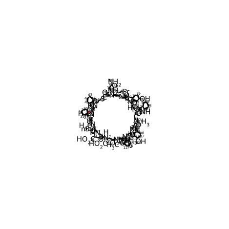 C=C(C)[C@@H]1NC(=O)[C@H](CC(=O)O)NC(=O)[C@H](CCC(=O)O)NC(=O)C(CCCC)N(C)C(=O)[C@H](Cc2ccccc2)N(C)C(=O)[C@H](Cc2ccccc2)NC(=O)CSC[C@@H](C(=O)NCC(N)=O)NC(=O)[C@H](CC(C)C)NC(=O)[C@H](Cc2ccc(O)cc2)NC(=O)[C@H](Cc2c[nH]c3ccccc23)NC(=O)CN(C)C(=O)[C@H](Cc2ccc(O)cc2)NC(=O)[C@H](Cc2ccccc2)N(C)C1=O